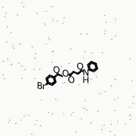 O=C(CCC(=O)OCC(=O)c1ccc(Br)cc1)Nc1ccccc1